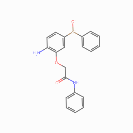 Nc1ccc([S+]([O-])c2ccccc2)cc1OCC(=O)Nc1ccccc1